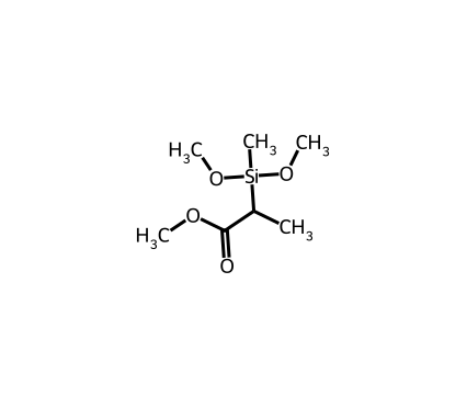 COC(=O)C(C)[Si](C)(OC)OC